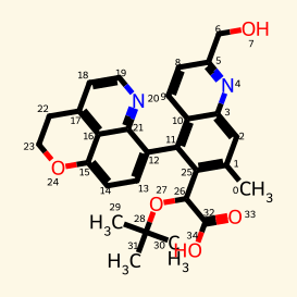 Cc1cc2nc(CO)ccc2c(-c2ccc3c4c(ccnc24)CCO3)c1C(OC(C)(C)C)C(=O)O